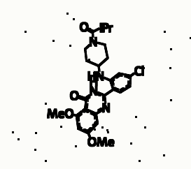 COc1cc(OC)c2c(=O)[nH]c(-c3ccc(Cl)cc3NC3CCN(C(=O)C(C)C)CC3)nc2c1